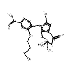 Cc1cc2c(n1-c1ccc(C(N)=O)cc1OCCCO)CC(C)(C)CC2=O